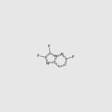 Fc1ccc2nc(F)c(F)n2n1